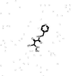 CCCC(NC(C)(C)C)C(=O)C(=O)NCc1ccncc1